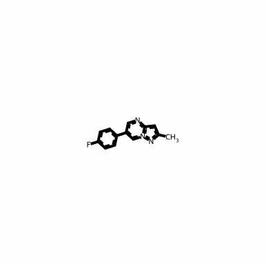 Cc1cc2ncc(-c3ccc(F)cc3)cn2n1